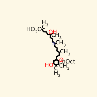 CCCCCCCCOC1=C(C)C(C)C(O)C=C1CCC(C)CCC/C(C)=C/CCC(C)(O)CCCC(C)C(=O)O